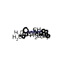 C=Cc1ccccc1C(=C)c1ccccccc(/C(C)=C/C=C(\C)C(=C)/C=C2\C(=C)C(C)(C)c3c2ccc2ccc4c5ccccc5sc4c32)c2ccccc12